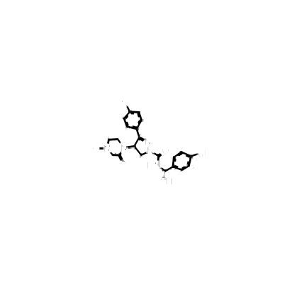 Cc1ccc(C2=NN(C(=O)N[C@H](C)c3ccc(Cl)cc3)CC2N2CCN(C)CC2=O)cc1